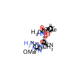 COC(=O)[C@H](C)NP(=O)(OC[C@@H]1C[C@@](C)(C#N)[C@H](n2cnc3c(OC)nc(N)nc32)O1)Oc1ccccc1